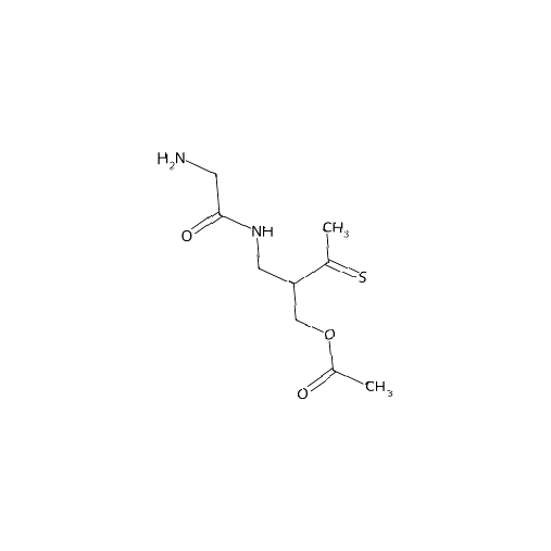 CC(=O)OCC(CNC(=O)CN)C(C)=S